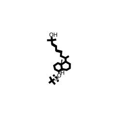 CC(CC=CC=CC(C)(C)O)C1CCC[C@H]2[C@@H](O[Si](C)(C)C(C)(C)C)CCC[C@]12C